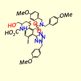 COc1ccc(CN(Cc2ccc(OC)cc2)S(=O)(=O)c2c(SCC(CO)NC(=O)O)ccc(I)c2-c2nnn(Cc3ccc(OC)cc3)n2)cc1